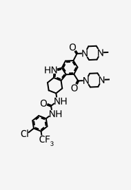 CN1CCN(C(=O)c2cc(C(=O)N3CCN(C)CC3)c3c4c([nH]c3c2)CCC(NC(=O)Nc2ccc(Cl)c(C(F)(F)F)c2)C4)CC1